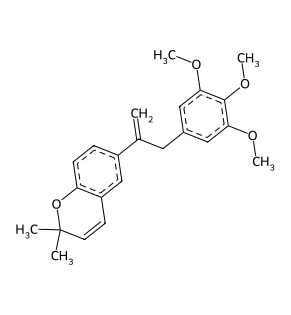 C=C(Cc1cc(OC)c(OC)c(OC)c1)c1ccc2c(c1)C=CC(C)(C)O2